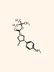 CC(C)(C)OC(=O)N1C[C@H](F)[C@H](c2ccc(N)cc2)C1